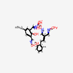 CCCCCCCCCc1cc(C=NO)c(O)c(C=NO)c1.ON=CC(C=NO)=CCc1ccccc1O